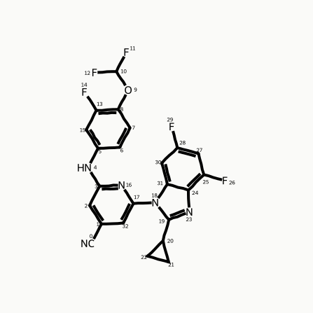 N#Cc1cc(Nc2ccc(OC(F)F)c(F)c2)nc(-n2c(C3CC3)nc3c(F)cc(F)cc32)c1